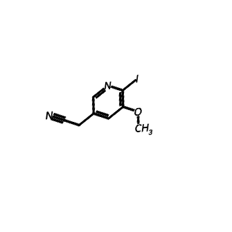 COc1cc(CC#N)cnc1I